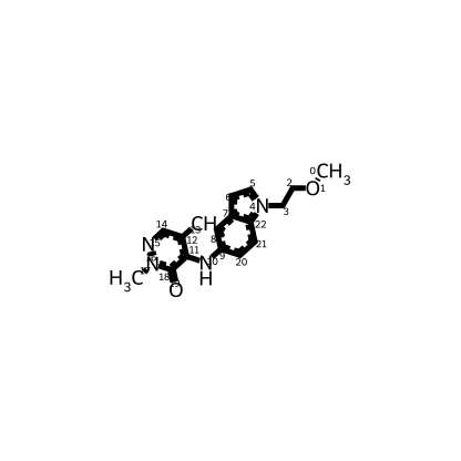 COCCn1ccc2cc(Nc3c(C)cnn(C)c3=O)ccc21